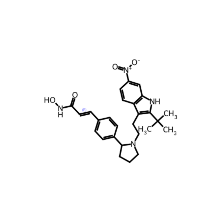 CC(C)(C)c1[nH]c2cc([N+](=O)[O-])ccc2c1CCN1CCCC1c1ccc(/C=C/C(=O)NO)cc1